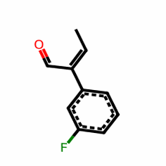 CC=C(C=O)c1cccc(F)c1